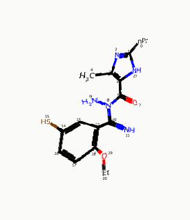 CCCc1nc(C)c(C(=O)N(N)C(=N)c2cc(S)ccc2OCC)[nH]1